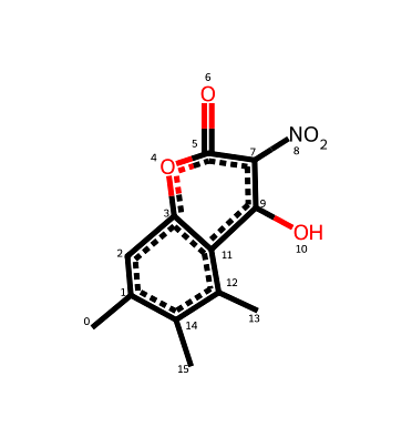 Cc1cc2oc(=O)c([N+](=O)[O-])c(O)c2c(C)c1C